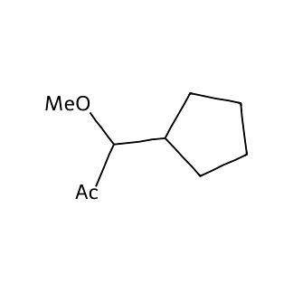 COC(C(C)=O)C1CCCC1